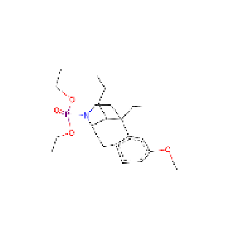 CCCC1C2Cc3ccc(OC)cc3C1(CC)CCN2P(=O)(OCC)OCC